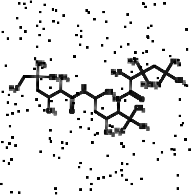 CCC(C)(N)CC(C)C(N)C(=O)NC(C)CC(C)C(NC(=O)C(N)C(C)(C)CC(C)(N)P)C(C)(C)C